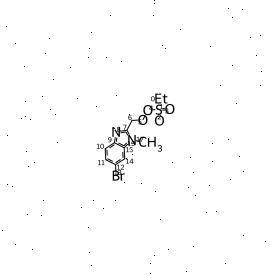 CCS(=O)(=O)OOCc1nc2ccc(Br)cc2n1C